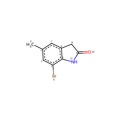 Cc1cc(Br)c2c(c1)CC(=O)N2